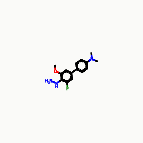 COc1cc(-c2ccc(N(C)C)cc2)cc(F)c1NN